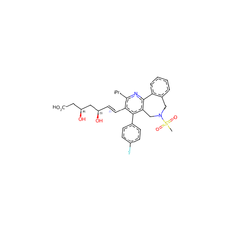 CC(C)c1nc2c(c(-c3ccc(F)cc3)c1/C=C/[C@@H](O)C[C@@H](O)CC(=O)O)CN(S(C)(=O)=O)Cc1ccccc1-2